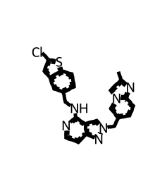 Cc1cn2cc(Cn3cc4c(NCc5ccc6sc(Cl)cc6c5)nccc4n3)ccc2n1